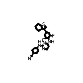 N#Cc1ccc(Nc2nccc(Nc3c(F)cc(-c4csc5ccccc45)cc3F)n2)cc1